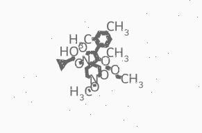 CCOC(=O)OC1=C(c2c(C)cc(C)cc2C)C(=O)N(OC(O)C2CC2)C12CCN(OC)CC2